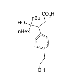 CCCCCCC(O)(CCCC)C(CC(=O)O)c1ccc(CCO)cc1